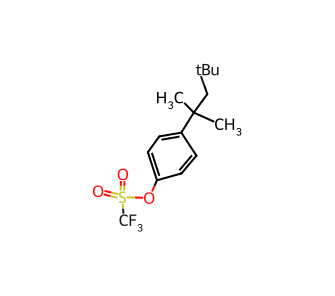 CC(C)(C)CC(C)(C)c1ccc(OS(=O)(=O)C(F)(F)F)cc1